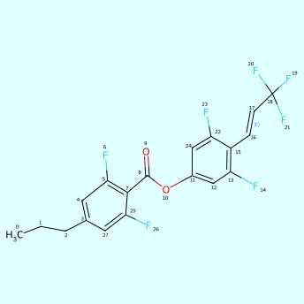 CCCc1cc(F)c(C(=O)Oc2cc(F)c(/C=C/C(F)(F)F)c(F)c2)c(F)c1